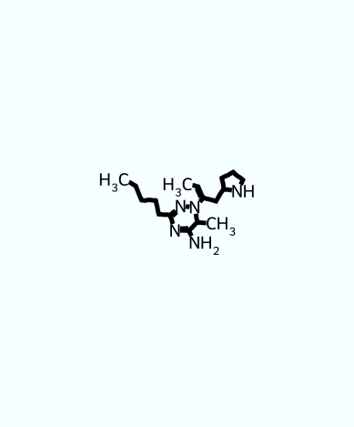 C/C=C(/CC1CCCN1)N1N=C(CCCCC)N=C(N)C1C